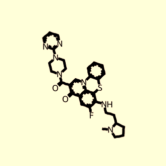 CN1CCCC1CCNc1c(F)cc2c(=O)c(C(=O)N3CCN(c4ncccn4)CC3)cn3c2c1Sc1ccccc1-3